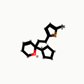 CC(=O)c1ccc(CCC2(C3CCCC3)C=CCCO2)s1